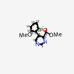 COC(=O)c1ncncc1-c1c(F)cccc1OC